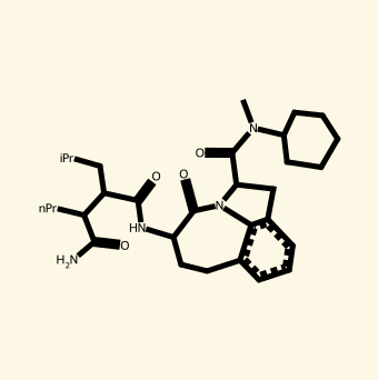 CCCC(C(N)=O)C(CC(C)C)C(=O)NC1CCc2cccc3c2N(C1=O)C(C(=O)N(C)C1CCCCC1)C3